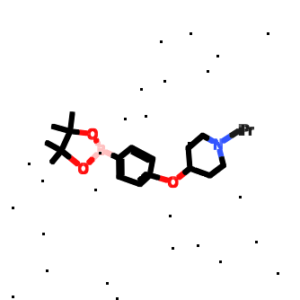 CC(C)N1CCC(Oc2ccc(B3OC(C)(C)C(C)(C)O3)cc2)CC1